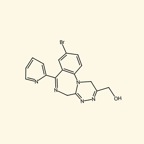 OCC1=NN=C2CN=C(c3ccccn3)c3cc(Br)ccc3N2C1